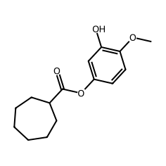 COc1ccc(OC(=O)C2CCCCCC2)cc1O